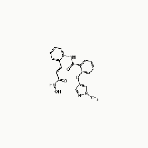 Cn1cc(Oc2ccccc2C(=O)Nc2ccccc2C=CC(=O)NO)cn1